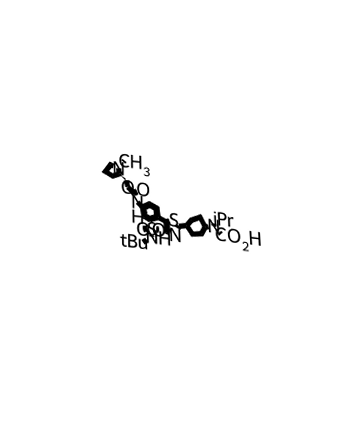 CC(C)N(C(=O)O)C1CCC(c2ncc(-c3ccc(NC(=O)OC[C@@H]4CCCN4C)cc3S(=O)(=O)NC(C)(C)C)s2)CC1